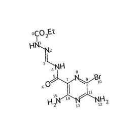 CCOC(=O)NN=CNC(=O)c1nc(Br)c(N)nc1N